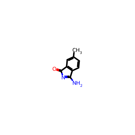 Cc1ccc2c(c1)C(=O)N=C2N